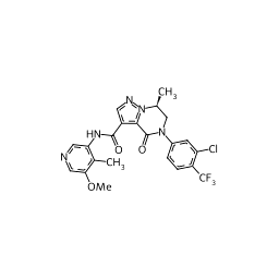 COc1cncc(NC(=O)c2cnn3c2C(=O)N(c2ccc(C(F)(F)F)c(Cl)c2)C[C@@H]3C)c1C